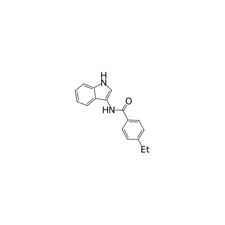 CCc1ccc(C(=O)Nc2c[nH]c3ccccc23)cc1